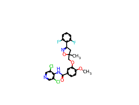 COc1ccc(C(=O)Nc2c(Cl)cncc2Cl)cc1OCC1(C)CC(c2c(F)cccc2F)=NO1